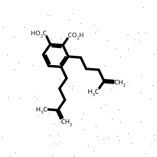 C=C(C)CCCc1ccc(C(=O)O)c(C(=O)O)c1CCCC(=C)C